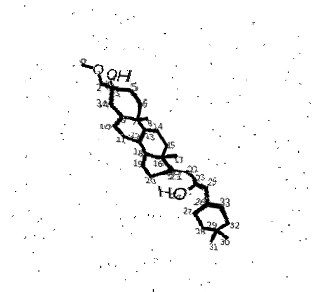 COC[C@]1(O)CCC2(C)C(CCC3C2CCC2(C)C3CC[C@@H]2CC(O)CC2CCC(C)(C)CC2)C1